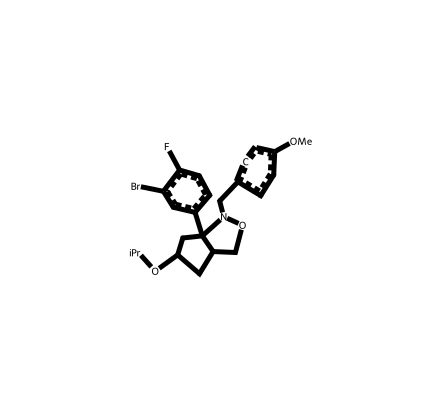 COc1ccc(CN2OCC3CC(OC(C)C)CC32c2ccc(F)c(Br)c2)cc1